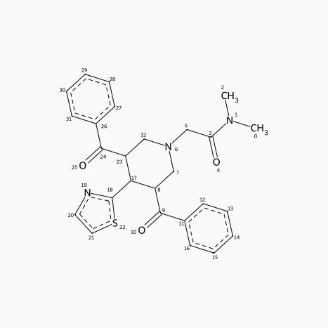 CN(C)C(=O)CN1CC(C(=O)c2ccccc2)C(c2nccs2)C(C(=O)c2ccccc2)C1